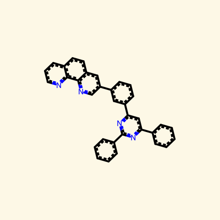 c1ccc(-c2cc(-c3cccc(-c4cnc5c(ccc6cccnc65)c4)c3)nc(-c3ccccc3)n2)cc1